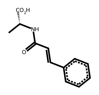 C[C@@H](NC(=O)C=Cc1ccccc1)C(=O)O